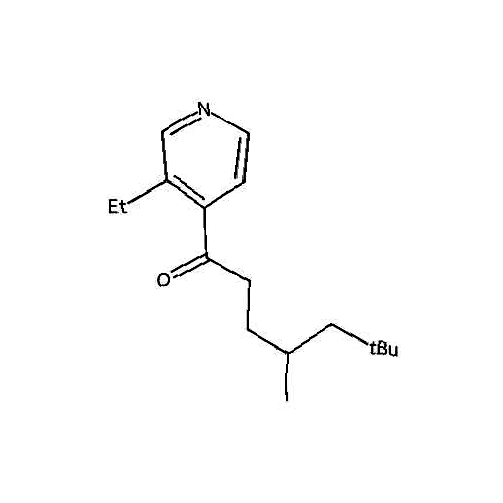 CCc1cnccc1C(=O)CCC(C)CC(C)(C)C